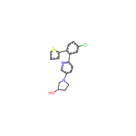 O[C@@H]1CCN(c2ccc(-c3cc(Cl)ccc3-c3cccs3)nc2)C1